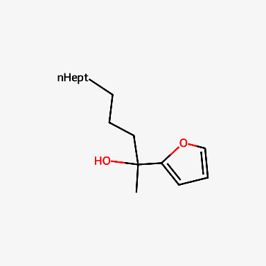 CCCCCCCCCCC(C)(O)c1ccco1